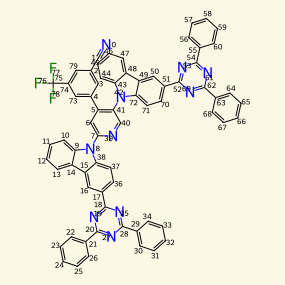 N#Cc1cc(-c2cc(-n3c4ccccc4c4cc(-c5nc(-c6ccccc6)nc(-c6ccccc6)n5)ccc43)ncc2-n2c3ccccc3c3cc(-c4nc(-c5ccccc5)nc(-c5ccccc5)n4)ccc32)cc(C(F)(F)F)c1